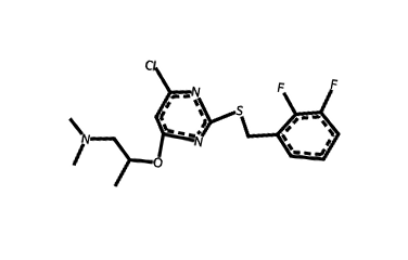 CC(CN(C)C)Oc1cc(Cl)nc(SCc2cccc(F)c2F)n1